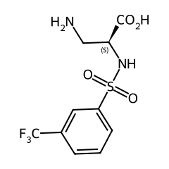 NC[C@H](NS(=O)(=O)c1cccc(C(F)(F)F)c1)C(=O)O